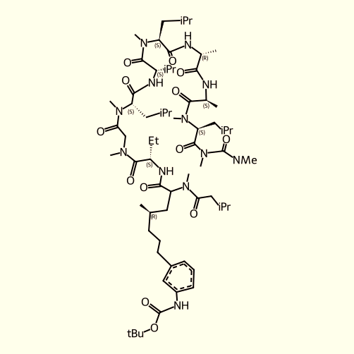 CC[C@H](NC(=O)C(C[C@H](C)CCCc1cccc(NC(=O)OC(C)(C)C)c1)N(C)C(=O)CC(C)C)C(=O)N(C)CC(=O)N(C)[C@@H](CC(C)C)C(=O)N[C@H](C(=O)N(C)[C@@H](CC(C)C)C(=O)N[C@H](C)C(=O)N[C@@H](C)C(=O)N(C)[C@@H](CC(C)C)C(=O)N(C)C(=O)NC)C(C)C